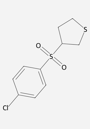 O=S(=O)(c1ccc(Cl)cc1)C1CCSC1